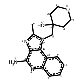 Cc1nc2c(N)nc3ccccc3c2n1CC1(O)CCOCC1